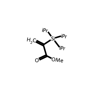 C=C(C(=O)OC)[Si](C(C)C)(C(C)C)C(C)C